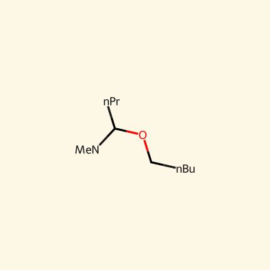 CCCCCOC(CCC)NC